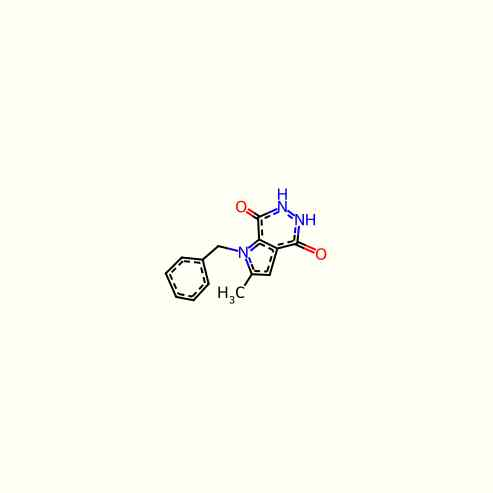 Cc1cc2c(=O)[nH][nH]c(=O)c2n1Cc1ccccc1